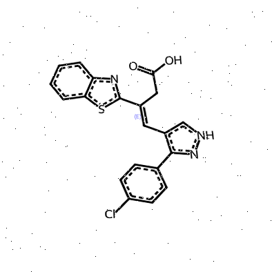 O=C(O)C/C(=C\c1c[nH]nc1-c1ccc(Cl)cc1)c1nc2ccccc2s1